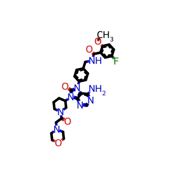 COc1ccc(F)cc1C(=O)NCc1ccc(-n2c(=O)n(C3CCCN(C(=O)CN4CCOCC4)C3)c3ncnc(N)c32)cc1